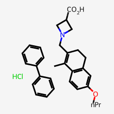 CCCOc1ccc2c(c1)CCC(CN1CC(C(=O)O)C1)=C2C.Cl.c1ccc(-c2ccccc2)cc1